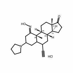 C#CC1C[C@@H]2[C@@H](CC[C@]3(C)C(=O)CC[C@@H]23)[C@@]2(C)C(=NO)CC(N3CCCC3)CC12.Cl